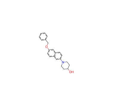 OC1CCN(c2ccc3cc(OCc4ccccc4)ccc3c2)CC1